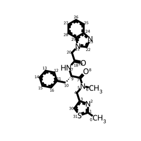 Cc1nc(CN(C)C(=O)[C@H](Cc2ccccc2)NC(=O)Cn2cnc3ccccc32)cs1